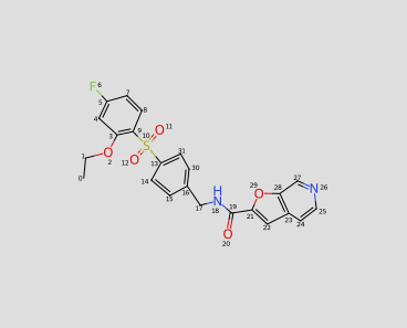 CCOc1cc(F)ccc1S(=O)(=O)c1ccc(CNC(=O)c2cc3ccncc3o2)cc1